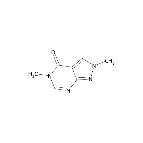 Cn1cc2c(=O)n(C)cnc2n1